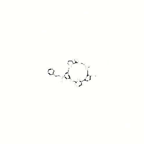 COc1ccc2cc1CN(C)CCNC(=O)[C@@H]1CCCN1Cc1cc(NCCc3ccccc3)cc(c1)Nc1nccc-2n1